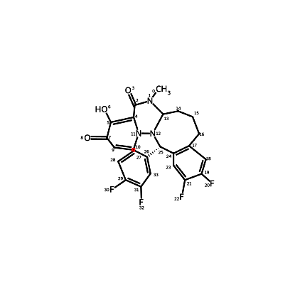 CN1C(=O)c2c(O)c(=O)ccn2N2C1CCCc1cc(F)c(F)cc1[C@@H]2c1ccc(F)c(F)c1